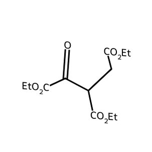 CCOC(=O)CC(C(=O)OCC)C(=O)C(=O)OCC